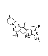 CC1CN(C)CCCN1c1nc(N(C)C)c2cc(Cl)c(-c3ccc(F)c4sc(N)c(C#N)c34)c(F)c2n1